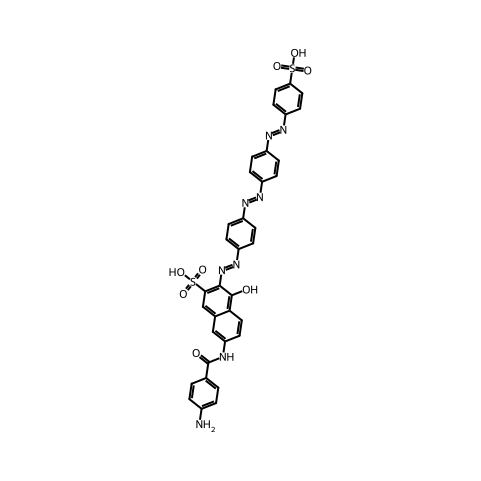 Nc1ccc(C(=O)Nc2ccc3c(O)c(N=Nc4ccc(N=Nc5ccc(N=Nc6ccc(S(=O)(=O)O)cc6)cc5)cc4)c(S(=O)(=O)O)cc3c2)cc1